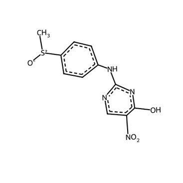 C[S+]([O-])c1ccc(Nc2ncc([N+](=O)[O-])c(O)n2)cc1